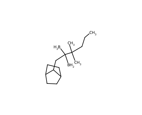 BC(B)(CC1C2CCC1CC2)C(C)(C)CCC